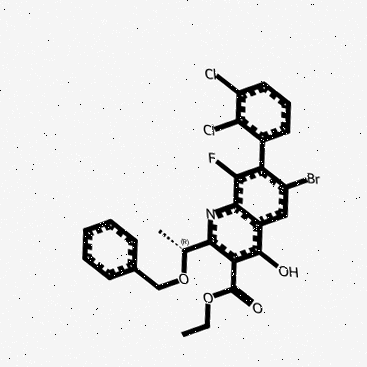 CCOC(=O)c1c([C@@H](C)OCc2ccccc2)nc2c(F)c(-c3cccc(Cl)c3Cl)c(Br)cc2c1O